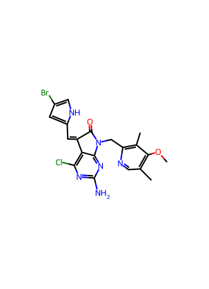 COc1c(C)cnc(CN2C(=O)C(=Cc3cc(Br)c[nH]3)c3c(Cl)nc(N)nc32)c1C